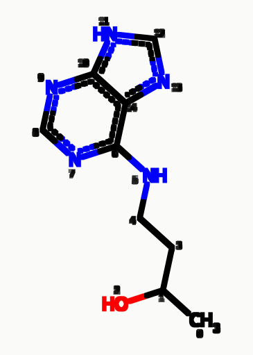 CC(O)CCNc1ncnc2[nH]cnc12